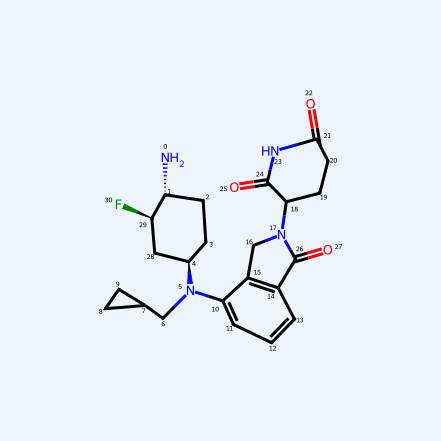 N[C@@H]1CC[C@@H](N(CC2CC2)c2cccc3c2CN(C2CCC(=O)NC2=O)C3=O)C[C@H]1F